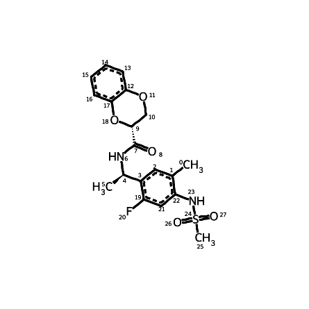 Cc1cc([C@@H](C)NC(=O)[C@H]2COc3ccccc3O2)c(F)cc1NS(C)(=O)=O